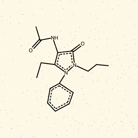 CCCn1c(=O)c(NC(C)=O)c(CC)n1-c1ccccc1